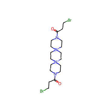 O=C(CCBr)N1CC[N+]2(CC1)CC[N+]1(CCN(C(=O)CCBr)CC1)CC2